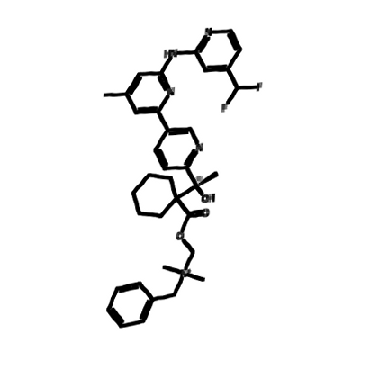 Cc1cc(Nc2cc(C(F)F)ccn2)nc(-c2ccc([C@](C)(O)C3(C(=O)OC[N+](C)(C)Cc4ccccc4)CCCCC3)nc2)c1